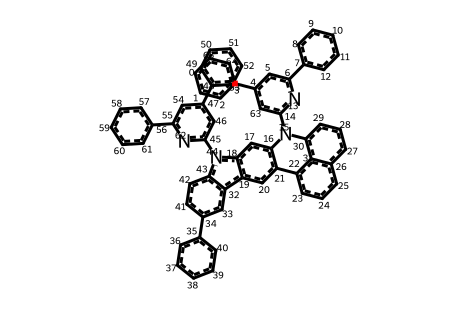 c1ccc(-c2cc(-c3ccccc3)nc(N3c4cc5c(cc4-c4cccc6cccc3c46)c3cc(-c4ccccc4)ccc3n5-c3cc(-c4ccccc4)cc(-c4ccccc4)n3)c2)cc1